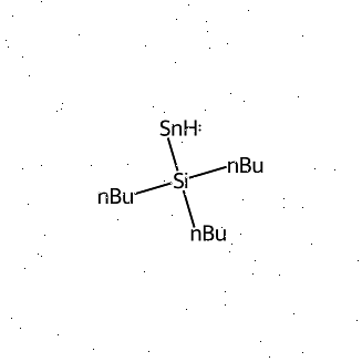 CCCC[Si]([SnH])(CCCC)CCCC